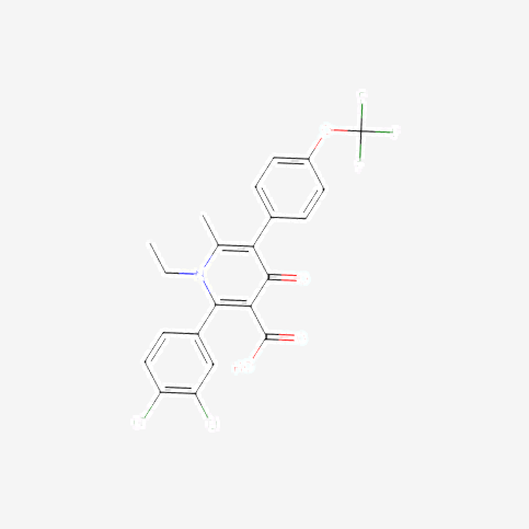 CCn1c(C)c(-c2ccc(OC(F)(F)F)cc2)c(=O)c(C(=O)O)c1-c1ccc(Cl)c(Cl)c1